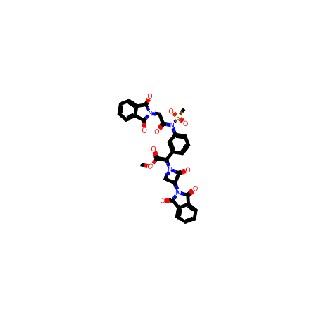 COC(=O)C(c1cccc(N(C(=O)CN2C(=O)c3ccccc3C2=O)S(C)(=O)=O)c1)N1CC(N2C(=O)c3ccccc3C2=O)C1=O